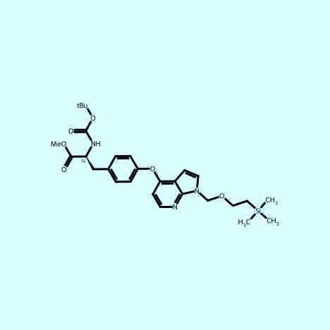 COC(=O)[C@H](Cc1ccc(Oc2ccnc3c2ccn3COCC[Si](C)(C)C)cc1)NC(=O)OC(C)(C)C